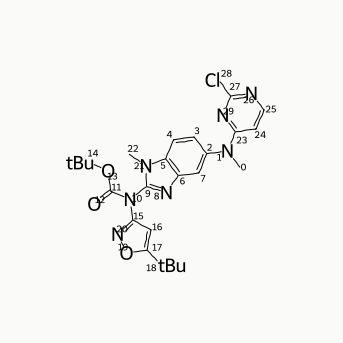 CN(c1ccc2c(c1)nc(N(C(=O)OC(C)(C)C)c1cc(C(C)(C)C)on1)n2C)c1ccnc(Cl)n1